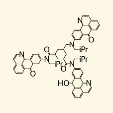 CC(C)CN(CC1CC(C(=O)N(CC(C)C)c2ccc3c(c2)C(=O)c2cccc4ccnc-3c24)CC(C(=O)N(CC(C)C)c2ccc3c(c2)C(O)c2cccc4ccnc-3c24)C1)c1ccc2c(c1)C(=O)c1cccc3ccnc-2c13